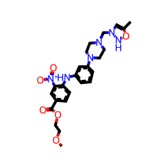 COCCOC(=O)c1ccc(Nc2cccc(N3CCN(CN4C=C(C)ON4)CC3)c2)c([N+](=O)[O-])c1